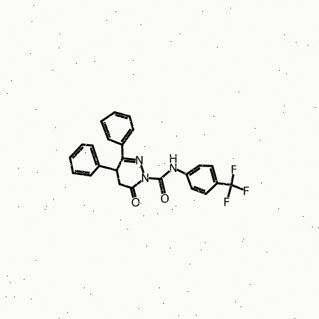 O=C1CC(c2ccccc2)C(c2ccccc2)=NN1C(=O)Nc1ccc(C(F)(F)F)cc1